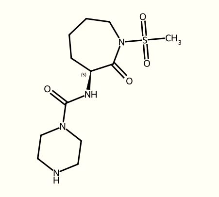 CS(=O)(=O)N1CCCC[C@H](NC(=O)N2CCNCC2)C1=O